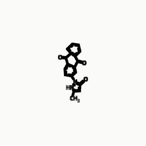 Cc1cc(=O)n(-c2ccc3c(c2)C(=O)c2ccccc2C3=O)[nH]1